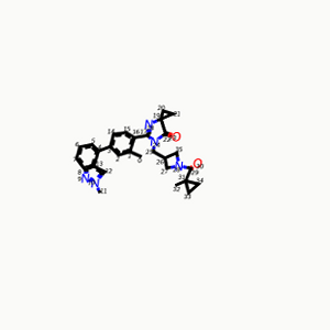 Cc1cc(-c2cccc3nn(C)cc23)ccc1C1=NC2(CC2)C(=O)N1CC1CN(C(=O)C2(C)CC2)C1